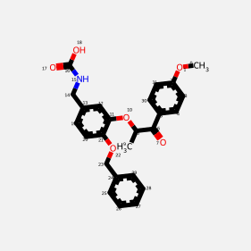 COc1ccc(C(=O)C(C)Oc2cc(CNC(=O)O)ccc2OCc2ccccc2)cc1